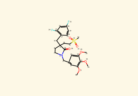 COc1cc(CN2CCC(CCS(C)(=O)=O)(Cc3ccc(F)cc3F)C2=O)cc(OC)c1OC